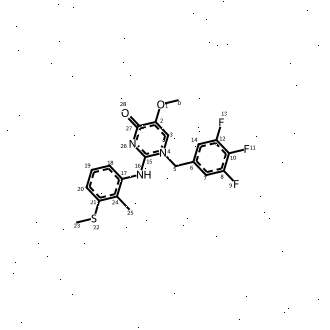 COc1cn(Cc2cc(F)c(F)c(F)c2)c(Nc2cccc(SC)c2C)nc1=O